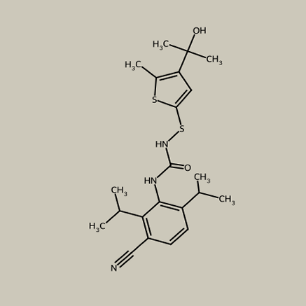 Cc1sc(SNC(=O)Nc2c(C(C)C)ccc(C#N)c2C(C)C)cc1C(C)(C)O